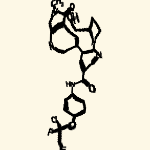 CN1Cc2ncc(-c3cc(C(=O)Nc4ccc(OC(F)(F)Cl)cc4)cnc3N3CCC3CO)cc2C1=O